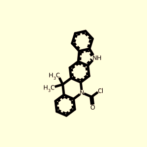 CC1(C)c2ccccc2N(C(=O)Cl)c2cc3[nH]c4ccccc4c3cc21